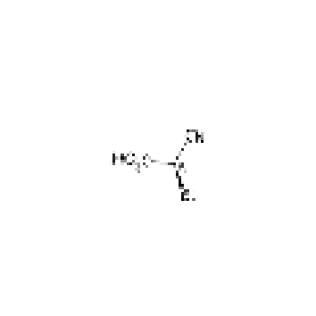 CC[C@H](C#N)C(=O)O